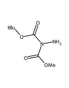 COC(=O)N(N)C(=O)OC(C)(C)C